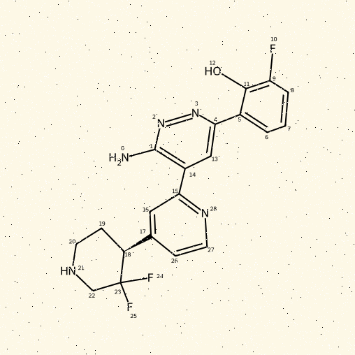 Nc1nnc(-c2cccc(F)c2O)cc1-c1cc([C@@H]2CCNCC2(F)F)ccn1